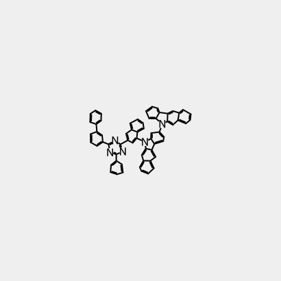 c1ccc(-c2cccc(-c3nc(-c4ccccc4)nc(-c4cc(-n5c6cc(-n7c8ccccc8c8cc9ccccc9cc87)ccc6c6cc7ccccc7cc65)c5ccccc5c4)n3)c2)cc1